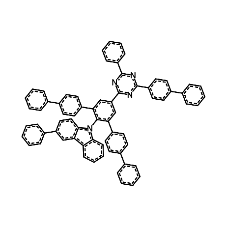 c1ccc(-c2ccc(-c3nc(-c4ccccc4)nc(-c4cc(-c5ccc(-c6ccccc6)cc5)c(-n5c6ccccc6c6cc(-c7ccccc7)ccc65)c(-c5ccc(-c6ccccc6)cc5)c4)n3)cc2)cc1